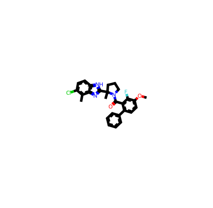 COc1ccc(-c2ccccc2)c(C(=O)N2CCCC2(C)c2nc3c(C)c(Cl)ccc3[nH]2)c1F